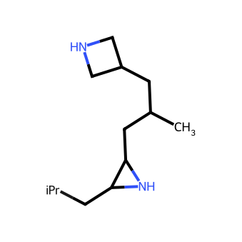 CC(C)CC1NC1CC(C)CC1CNC1